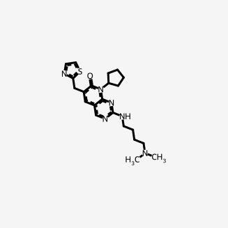 CN(C)CCCCNc1ncc2cc(Cc3nccs3)c(=O)n(C3CCCC3)c2n1